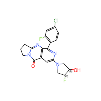 O=c1c2cc(N3C[C@@H](O)[C@H](F)C3)nc(-c3ccc(Cl)cc3F)c2nc2n1CCC2